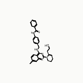 Cc1ccc2c(NCc3ccc(NC(=O)c4ccccc4)cc3)nc(N3CCCCC3CCO)nc2c1